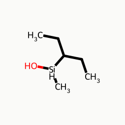 CCC(CC)[SiH](C)O